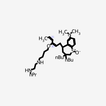 C/C=C\C(=C/CC1CC(CCCC)(CCCC)C[S+]([O-])c2ccc(N(C)C)cc21)OCCCCNCCNCCC